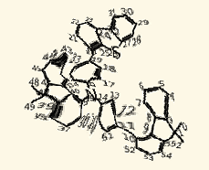 CC1(C)c2ccccc2-c2c(-c3ccc(N(c4ccc(-c5cccc6c5sc5ccccc56)cc4)c4cccc5c4-c4ccccc4C5(C)C)cc3)cccc21